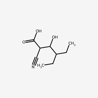 CCC(CC)C(O)C(C#N)C(=O)O